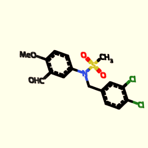 COc1ccc(N(Cc2ccc(Cl)c(Cl)c2)S(C)(=O)=O)cc1C=O